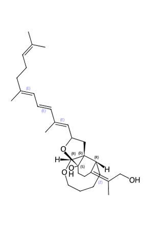 CC(C)=CCC/C(C)=C/C=C/C(C)=C/C1C[C@@]23[C@H](OCCCC[C@@H]2/C(=C(/C)CO)CC[C@]3(C)O)O1